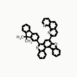 CC1(C)c2ccccc2-c2ccc(-c3nc4ccccc4c4c3cc(-c3ccc5ccc6cccnc6c5n3)c3oc5ccccc5c34)cc21